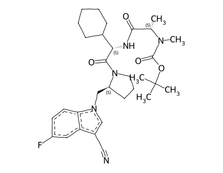 C[C@@H](C(=O)N[C@H](C(=O)N1CCC[C@H]1Cn1cc(C#N)c2cc(F)ccc21)C1CCCCC1)N(C)C(=O)OC(C)(C)C